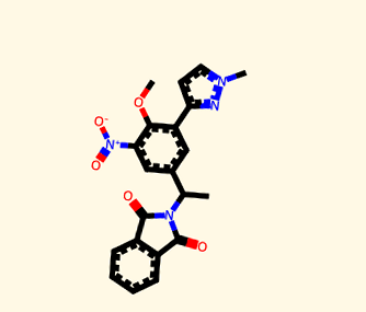 COc1c(-c2ccn(C)n2)cc(C(C)N2C(=O)c3ccccc3C2=O)cc1[N+](=O)[O-]